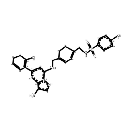 Bc1cnn2c(NCC3=CC=C(CNS(=O)(=O)c4ccc(C#N)cc4)CC3)cc(C3=C(Cl)CCC=C3)nc12